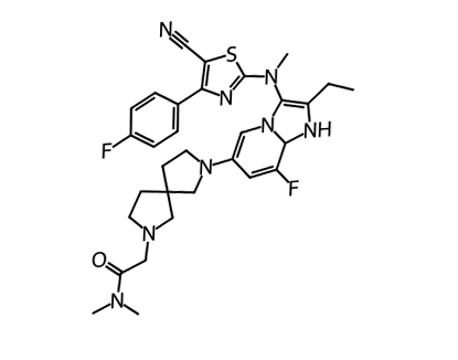 CCC1=C(N(C)c2nc(-c3ccc(F)cc3)c(C#N)s2)N2C=C(N3CCC4(CCN(CC(=O)N(C)C)C4)C3)C=C(F)C2N1